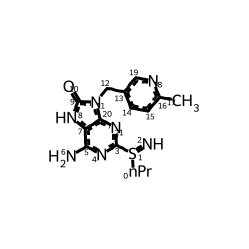 CCCS(=N)c1nc(N)c2[nH]c(=O)n(Cc3ccc(C)nc3)c2n1